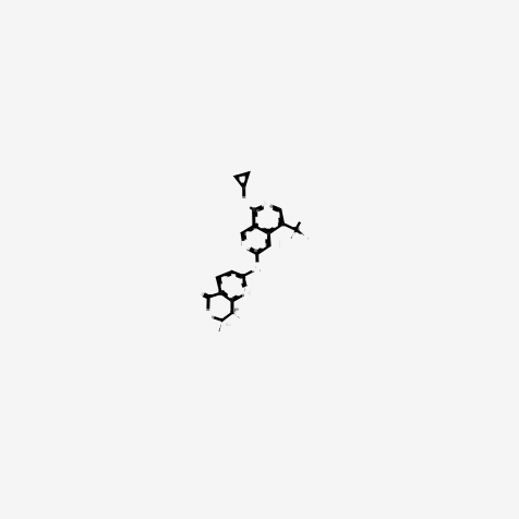 CC[C@@](C)(N)c1cnc(OC2CC2)c2cnc(Nc3ccc4c(n3)[C@@H](C)[C@@H](C)OC4=O)cc12